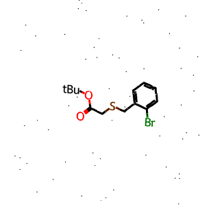 CC(C)(C)OC(=O)CSCc1ccccc1Br